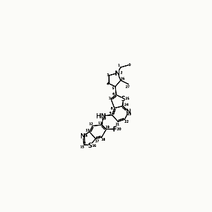 CCN1CCC(c2cc3c(Nc4cc5ncsc5cc4F)ccnc3s2)C1C